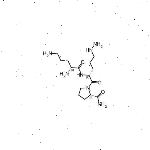 NCCC[C@@H](N)C(=O)N[C@H](CCCNN)C(=O)N1CCC[C@H]1C(N)=O